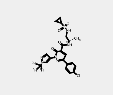 [2H]C([2H])([2H])n1cc(-n2nc(-c3ccc(Cl)cc3)cc(C(=O)N[C@@H](C)CNS(=O)(=O)C3CC3)c2=O)cn1